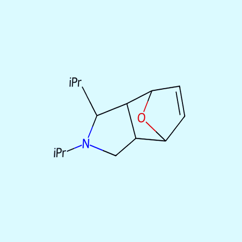 CC(C)C1C2C3C=CC(O3)C2CN1C(C)C